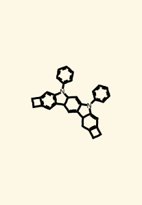 C1=C2C(=CC3C1c1cc4c(cc1N3c1ccccc1)CC4)N(c1ccccc1)C1=CC3=C(CC3)CC21